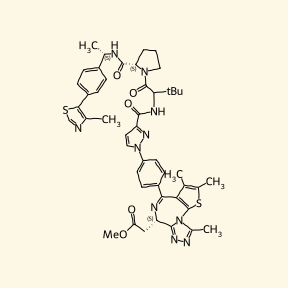 COC(=O)C[C@@H]1N=C(c2ccc(-n3ccc(C(=O)NC(C(=O)N4CCC[C@H]4C(=O)N[C@@H](C)c4ccc(-c5scnc5C)cc4)C(C)(C)C)n3)cc2)c2c(sc(C)c2C)-n2c(C)nnc21